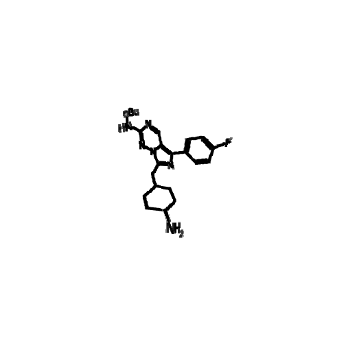 CCCCNc1ncc2c(-c3ccc(F)cc3)nc(CC3CCC(N)CC3)n2n1